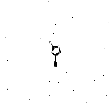 C#Cc1csc(F)n1